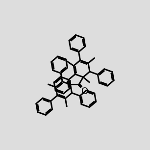 CC1=C(c2ccccc2)C(C)(C(=O)C2(C)C(c3ccccc3)=C(C)C(c3ccccc3)=C(C)C2c2ccccc2)C(c2ccccc2)C(C)=C1c1ccccc1